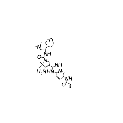 C=CC(=O)Nc1ccc(NC(=N)C2=C(N)C(C)(C)N(C(=O)N[C@H](CN(C)C)C3CCOCC3)C2)nc1